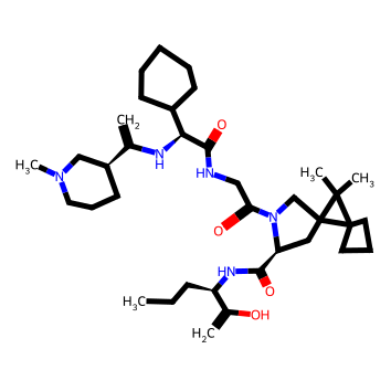 C=C(N[C@H](C(=O)NCC(=O)N1CC2(C[C@H]1C(=O)N[C@H](CCC)C(=C)O)C(C)(C)C21CCC1)C1CCCCC1)[C@H]1CCCN(C)C1